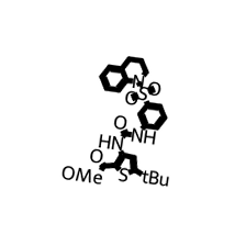 COC(=O)c1sc(C(C)(C)C)cc1NC(=O)Nc1cccc(S(=O)(=O)N2CCCc3ccccc32)c1